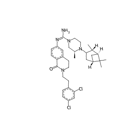 C[C@H]1C(N2CCN(C(N)=Nc3ccc4c(c3)CCN(CCc3ccc(Cl)cc3Cl)C4=O)C[C@@H]2C)C[C@@H]2C[C@@H]1C2(C)C